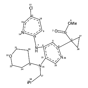 COC(=O)C1(c2cc(Nc3ccc(Cl)cn3)c(N(CC(C)C)C3CCOCC3)cn2)CC1